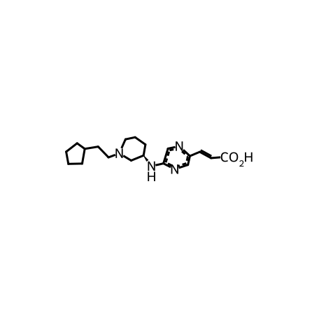 O=C(O)C=Cc1cnc(N[C@@H]2CCCN(CCC3CCCC3)C2)cn1